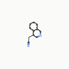 N#CCc1cncc2ccccc12